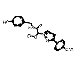 CCOC(C(=O)NCc1ccc(C#N)cc1)n1ccc(-c2ccc(OC)cc2)n1